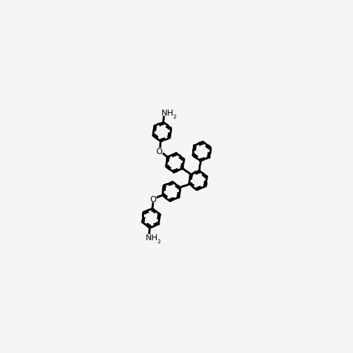 Nc1ccc(Oc2ccc(-c3cccc(-c4ccccc4)c3-c3ccc(Oc4ccc(N)cc4)cc3)cc2)cc1